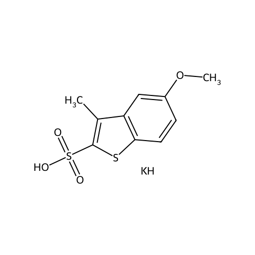 COc1ccc2sc(S(=O)(=O)O)c(C)c2c1.[KH]